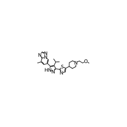 COCCN1CCC(c2cnc(-c3n[nH]c(-c4cc(C)c5ncnn5c4)c3C(C)C)s2)CC1